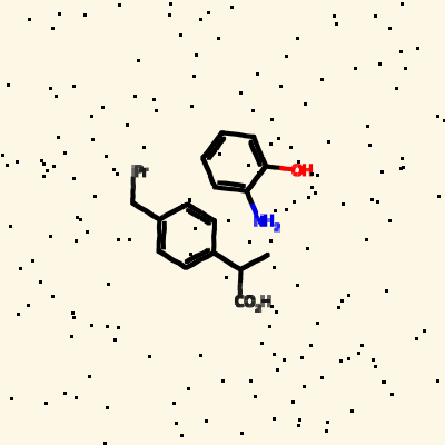 CC(C)Cc1ccc(C(C)C(=O)O)cc1.Nc1ccccc1O